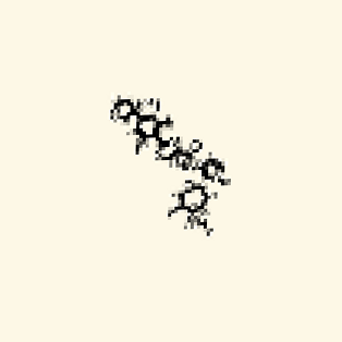 Cn1ncc(NC(=O)c2csc(-c3c(F)cc(C4(O)CCOC4)cc3F)n2)c1[C@@H]1CC[C@@H](N)[C@H](F)CO1